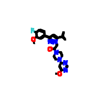 COc1cc(N2CCN(C(=O)Cn3nc(-c4ccc(F)c(OC)c4)cc3C(C)C)CC2)ncn1